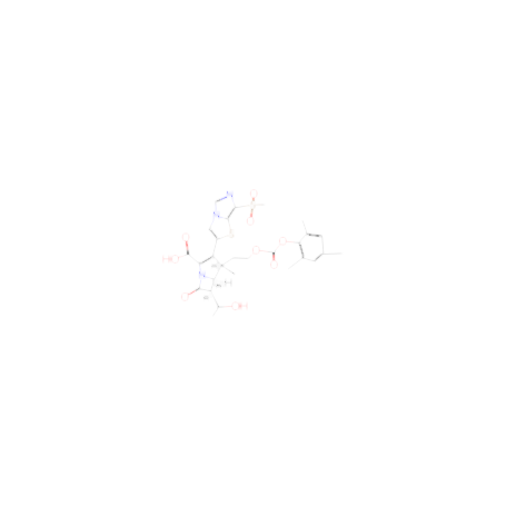 Cc1cc(C)c(OC(=O)OCC[C@@]2(C)C(c3cn4cnc(S(C)(=O)=O)c4s3)=C(C(=O)O)N3C(=O)[C@H](C(C)O)[C@@H]32)c(C)c1